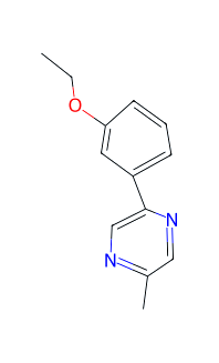 CCOc1cccc(-c2cnc(C)cn2)c1